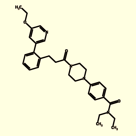 CCOc1cncc(-c2ccccc2CCC(=O)N2CCN(c3ccc(C(=O)N(CC)CC)cc3)CC2)c1